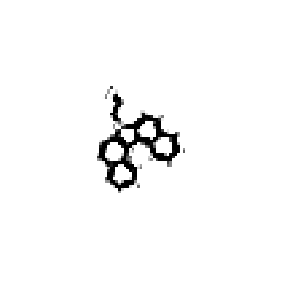 C=CCn1c2ccc3ccccc3c2c2c3ccccc3ccc21